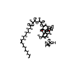 CCCCCCCC/C=C\CCCCCCCC(=O)OC(C)C(=O)OC(C)C(=O)OC1=CC[C@@]2(O)[C@H]3Cc4ccc(OC)c5c4[C@@]2(CCN3C)[C@H]1O5.O=C(O)C(F)(F)F